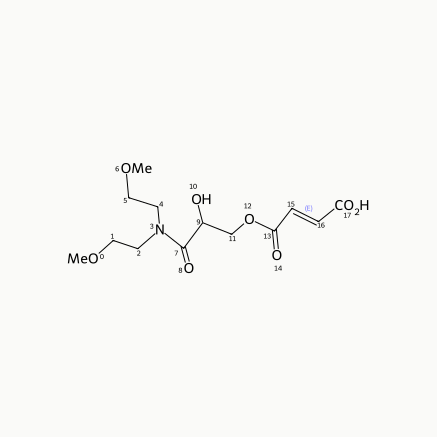 COCCN(CCOC)C(=O)C(O)COC(=O)/C=C/C(=O)O